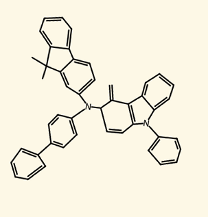 C=C1c2c(n(-c3ccccc3)c3ccccc23)C=CC1N(c1ccc(-c2ccccc2)cc1)c1ccc2c(c1)C(C)(C)c1ccccc1-2